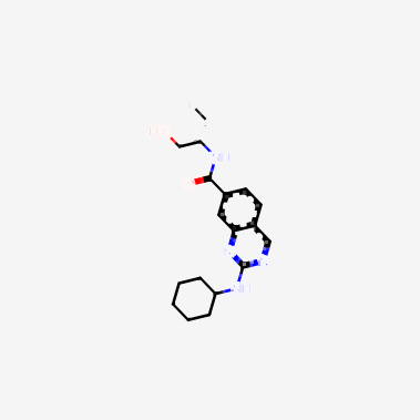 CC(C)C[C@@H](CO)NC(=O)c1ccc2cnc(NC3CCCCC3)nc2c1